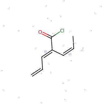 C=C/C=C(\C=C/C)C(=O)Cl